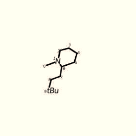 CN1CCCCC1CCC(C)(C)C